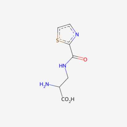 NC(CNC(=O)c1nccs1)C(=O)O